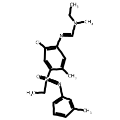 CCN(C)C=Nc1cc(C)c(S(=O)(CC)=Nc2cccc(C)c2)cc1Cl